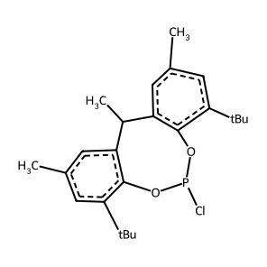 Cc1cc2c(c(C(C)(C)C)c1)OP(Cl)Oc1c(cc(C)cc1C(C)(C)C)C2C